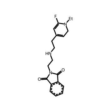 CCN1CC=C(CCNCCN2C(=O)c3ccccc3C2=O)C=C1F